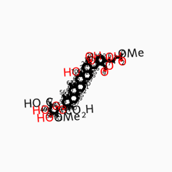 COC(=O)CCC1(O)OC(=O)c2c1ccc1c2CC2C(CO)(CCC3C2(C)CCC2C4(C)CCC5C6(C)CCC7C(C)(C(=O)O)C(OC8OC(C(=O)O)C(O)C(O)C8OC)CC(C)C7(C)C6CC(C)C5(C)C4CCC32CO)O1